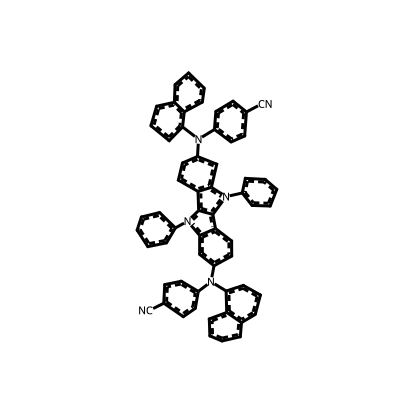 N#Cc1ccc(N(c2ccc3c(c2)n(-c2ccccc2)c2c4ccc(N(c5ccc(C#N)cc5)c5cccc6ccccc56)cc4n(-c4ccccc4)c32)c2cccc3ccccc23)cc1